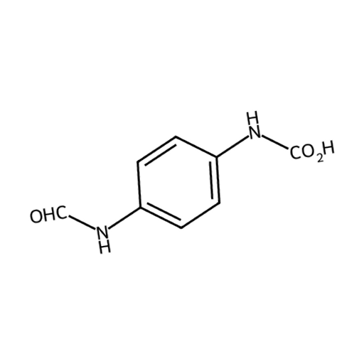 O=CNc1ccc(NC(=O)O)cc1